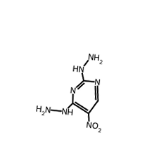 NNc1ncc([N+](=O)[O-])c(NN)n1